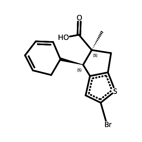 C[C@]1(C(=O)O)Cc2sc(Br)cc2[C@H]1C1C=CC=CC1